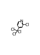 Clc1cc(C(Cl)(Cl)Cl)ccn1